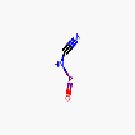 N#CNP=O